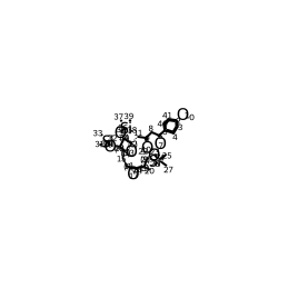 COc1ccc(C(=O)CC(=O)C[C@@H]2O[C@@H](C[C@@H]3O[C@H]3[C@H](C)[C@H](C)O[Si](C)(C)C)[C@@H](O[Si](C)(C)C)[C@@H]2O[Si](C)(C)C)cc1